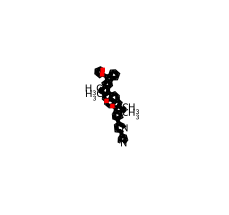 CC1(C)C2=Cc3ccc4c5c(cc6c4c3C(=CC6)C2c2ccc(-c3ccc(-c4ccncc4)nc3)cc21)C(C)(C)c1cc2c(cc1-5)-c1ccccc1C2c1ccccc1